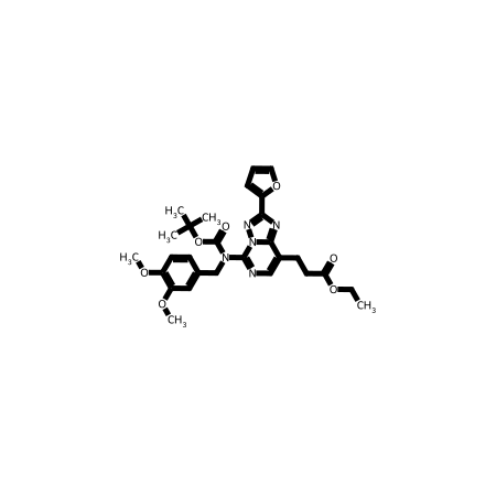 CCOC(=O)CCc1cnc(N(Cc2ccc(OC)c(OC)c2)C(=O)OC(C)(C)C)n2nc(-c3ccco3)nc12